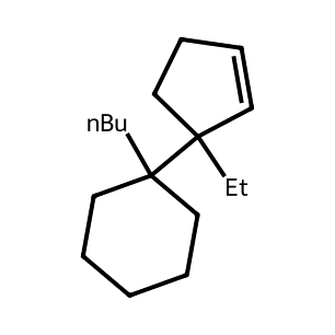 CCCCC1(C2(CC)C=CCC2)CCCCC1